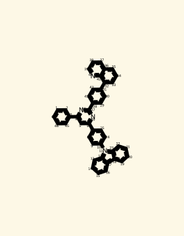 c1ccc(-c2cc(-c3ccc(-n4c5ccccc5c5ccccc54)cc3)nc(-c3ccc(-c4cccc5cccnc45)cc3)n2)cc1